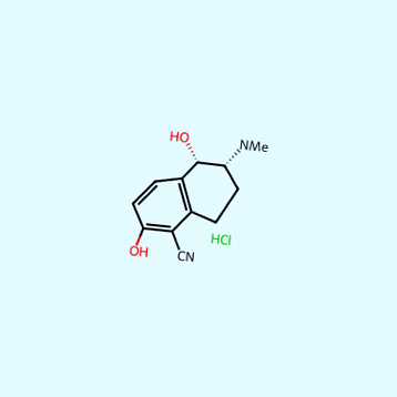 CN[C@@H]1CCc2c(ccc(O)c2C#N)[C@@H]1O.Cl